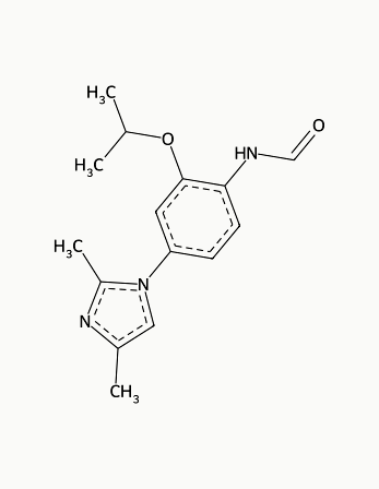 Cc1cn(-c2ccc(NC=O)c(OC(C)C)c2)c(C)n1